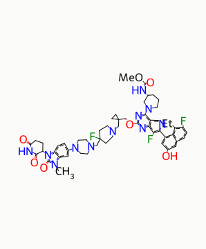 CCc1c(F)ccc2cc(O)cc(-c3ncc4c(N5CCC[C@@H](NC(=O)OC)C5)nc(OCC5(CN6CCC(F)(CN7CCN(c8ccc9c(c8)n(C)c(=O)n9C8CCC(=O)NC8=O)CC7)CC6)CC5)nc4c3F)c12